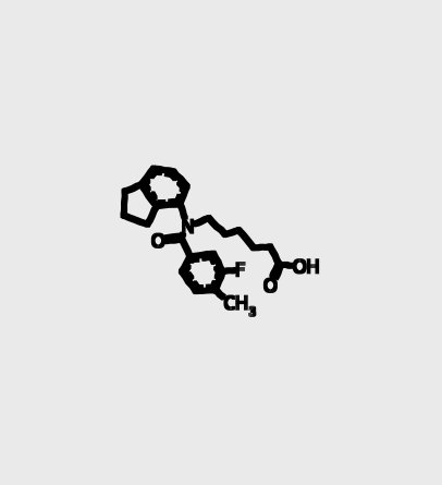 Cc1ccc(C(=O)N(CCCCCC(=O)O)c2cccc3c2CCC3)cc1F